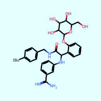 CC(C)(C)c1ccc(CNC(=O)C(Nc2cccc(C(=N)N)c2)c2ccccc2OC2OC(CO)C(O)C(O)C2O)cc1